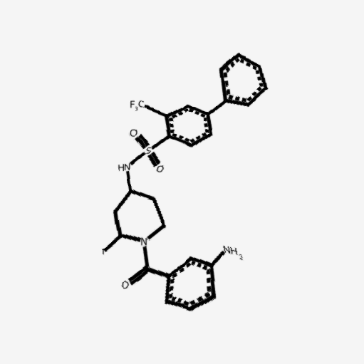 Nc1cccc(C(=O)N2CCC(NS(=O)(=O)c3ccc(-c4ccccc4)cc3C(F)(F)F)CC2I)c1